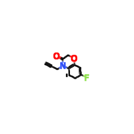 C#CCN1C(=O)COC2=C1[C]CC(F)=C2